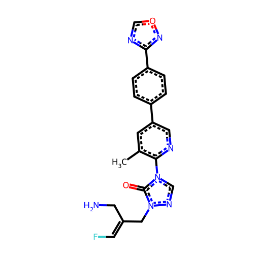 Cc1cc(-c2ccc(-c3ncon3)cc2)cnc1-n1cnn(C/C(=C/F)CN)c1=O